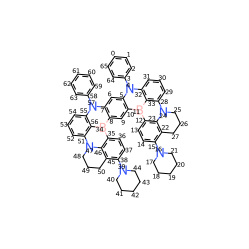 c1ccc(N2c3cc4c(cc3B3c5ccc(N6CCCCC6)c6c5N(CCC6)c5cccc2c53)B2c3ccc(N5CCCCC5)c5c3N(CCC5)c3cccc(c32)N4c2ccccc2)cc1